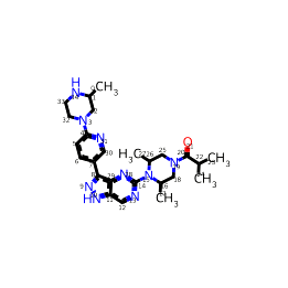 CC1CN(c2ccc(-c3n[nH]c4cnc(N5C(C)CN(C(=O)C(C)C)CC5C)nc34)cn2)CCN1